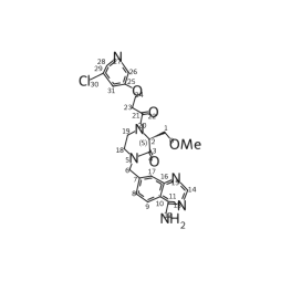 COC[C@H]1C(=O)N(Cc2ccc3c(N)ncnc3c2)CCN1C(=O)COc1cncc(Cl)c1